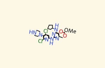 COC(=O)Oc1c(C)nc(Nc2cc(Cl)c(N3CCNCC3)c(Cl)n2)nc1NC1CCCC1